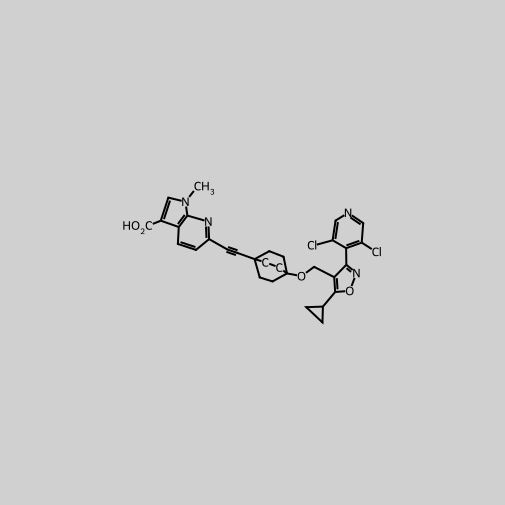 Cn1cc(C(=O)O)c2ccc(C#CC34CCC(OCc5c(-c6c(Cl)cncc6Cl)noc5C5CC5)(CC3)CC4)nc21